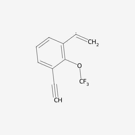 C#Cc1cccc([C]=C)c1OC(F)(F)F